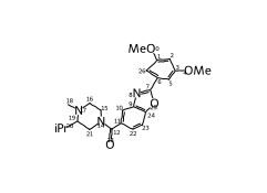 COc1cc(OC)cc(-c2nc3cc(C(=O)N4CCN(C)C(C(C)C)C4)ccc3o2)c1